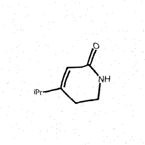 CC(C)C1=CC(=O)NCC1